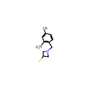 N#Cc1ccc(CN2CC(F)C2)c([N+](=O)[O-])c1